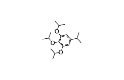 CC(C)Oc1cc(C(C)C)cc(OC(C)C)c1OC(C)C